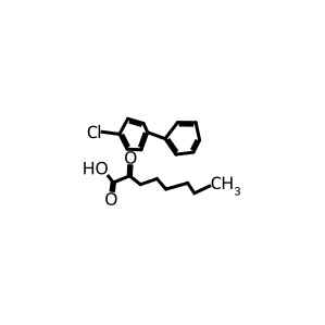 CCCCCCC(=O)C(=O)O.Clc1ccc(-c2ccccc2)cc1